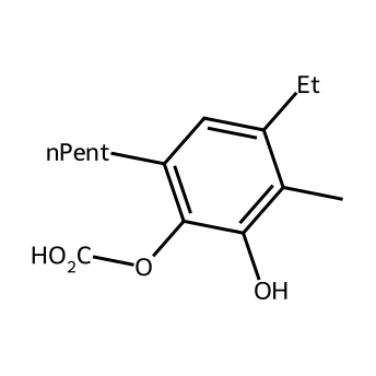 CCCCCc1cc(CC)c(C)c(O)c1OC(=O)O